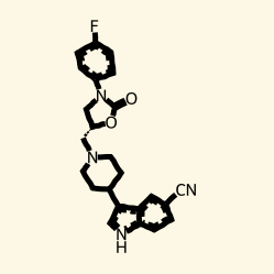 N#Cc1ccc2[nH]cc(C3CCN(C[C@@H]4CN(c5ccc(F)cc5)C(=O)O4)CC3)c2c1